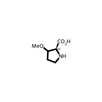 COC1CCN[C@@H]1C(=O)O